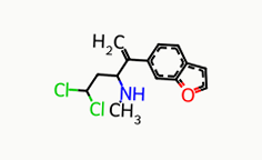 C=C(c1ccc2ccoc2c1)C(CC(Cl)Cl)NC